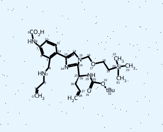 C=CCNCc1cc(NC(=O)O)ccc1-c1cn(COCC[Si](C)(C)C)c([C@H](CC=C)NC(=O)OC(C)(C)C)n1